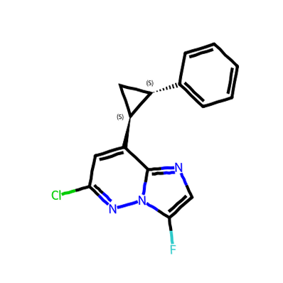 Fc1cnc2c([C@H]3C[C@@H]3c3ccccc3)cc(Cl)nn12